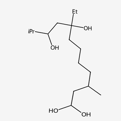 CCC(O)(CCCCC(C)CC(O)O)CC(O)C(C)C